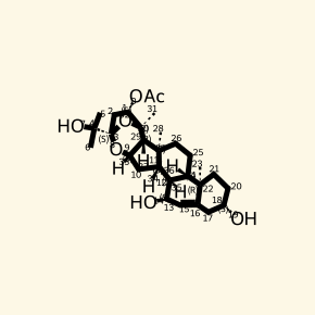 CC(=O)O[C@H]1C[C@]2(C(C)(C)O)O[C@H]3C[C@H]4[C@@H]5[C@H](O)C=C6C[C@@H](O)CC[C@]6(C)[C@H]5CC[C@]4(C)[C@H]3[C@@]1(C)O2